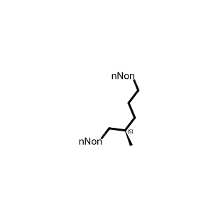 CCCCCCCCCCCC[C@@H](C)CCCCCCCCCC